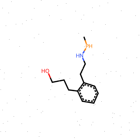 CPNCCc1ccccc1CCCO